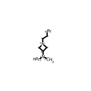 CCCN(C)C1CN(CCC(C)C)C1